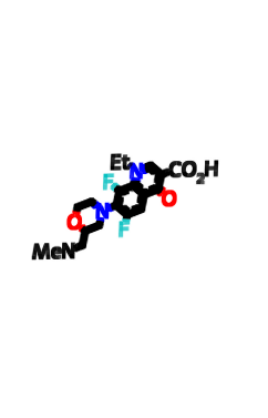 CCn1cc(C(=O)O)c(=O)c2cc(F)c(N3CCOC(CNC)C3)c(F)c21